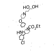 CCOC(=O)N1CCc2c([nH]c3ccc(Cl)cc23)[C@@H]1c1ccc(OC2CCN(CC[C@H](O)CO)CC2)cc1